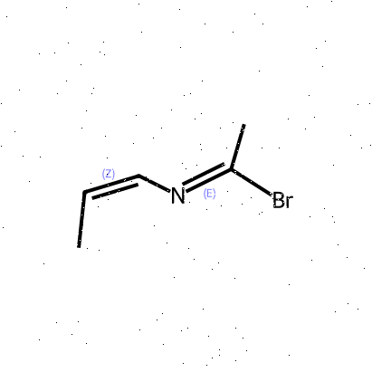 C/C=C\N=C(/C)Br